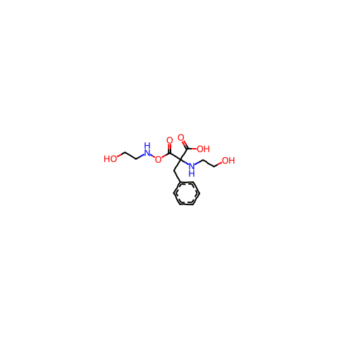 O=C(O)C(Cc1ccccc1)(NCCO)C(=O)ONCCO